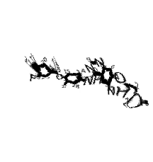 COCCOc1cc2ncnc(Nc3ccc(OCc4cccc(F)c4)c(C)c3)c2cc1N